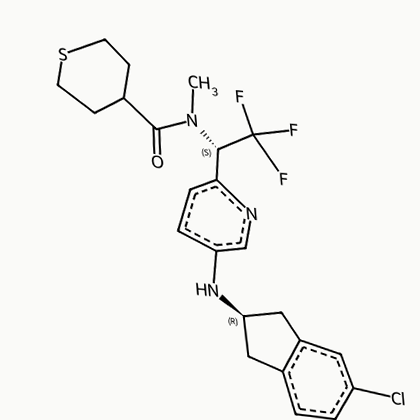 CN(C(=O)C1CCSCC1)[C@@H](c1ccc(N[C@@H]2Cc3ccc(Cl)cc3C2)cn1)C(F)(F)F